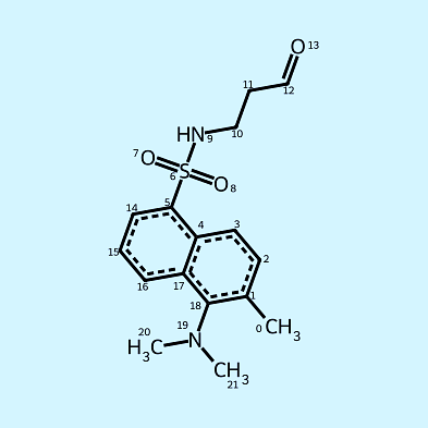 Cc1ccc2c(S(=O)(=O)NCCC=O)cccc2c1N(C)C